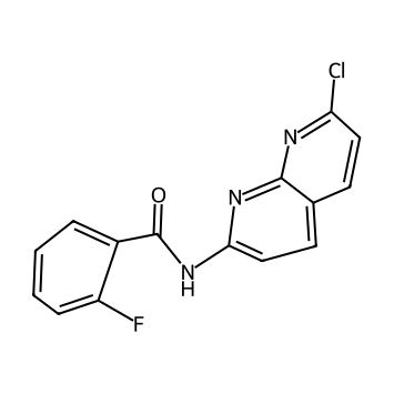 O=C(Nc1ccc2ccc(Cl)nc2n1)c1ccccc1F